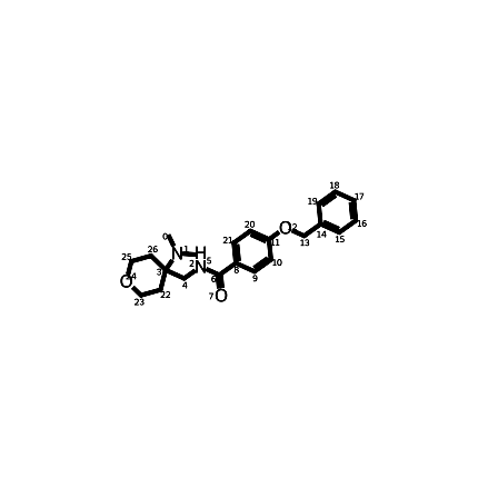 CN(C)C1(CNC(=O)c2ccc(OCc3ccccc3)cc2)CCOCC1